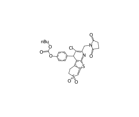 CCCCOC(=O)Oc1ccc(C2C(Cl)=C(CN3C(=O)CCC3=O)N=c3sc4c(c32)CCS(=O)(=O)C=4)cc1